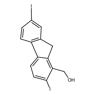 OCc1c(I)ccc2c1Cc1cc(I)ccc1-2